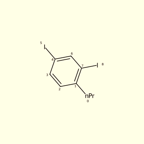 [CH2]CCc1ccc(I)cc1I